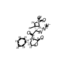 CC1([C@H](N=[N+]=[N-])C(=O)N2C(=O)OC[C@@H]2c2ccccc2)CS(=O)(=O)C1